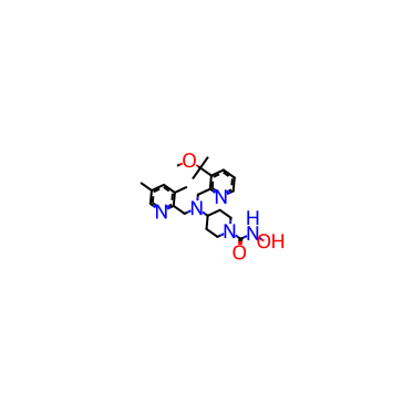 COC(C)(C)c1cccnc1CN(Cc1ncc(C)cc1C)C1CCN(C(=O)NO)CC1